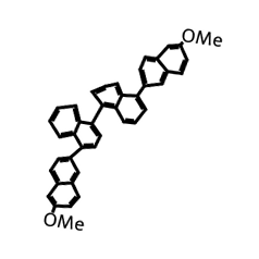 COc1ccc2cc(-c3cccc4c(-c5ccc(-c6ccc7cc(OC)ccc7c6)c6ccccc56)cccc34)ccc2c1